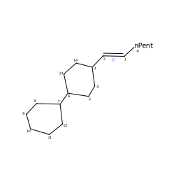 CCCCC/C=C/C1CCC(C2CCCCC2)CC1